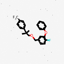 CC(C)(COCc1ccc(F)c(Oc2ccccc2)c1)c1ccc(C(F)(F)F)cc1